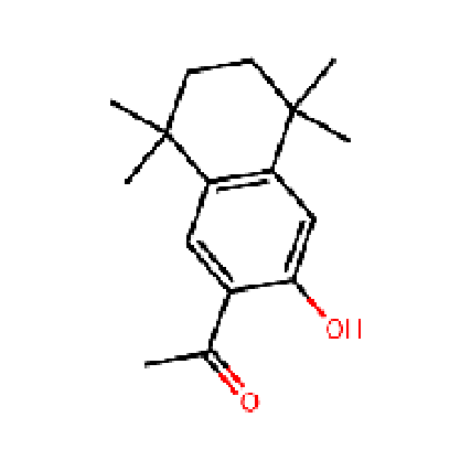 CC(=O)c1cc2c(cc1O)C(C)(C)CCC2(C)C